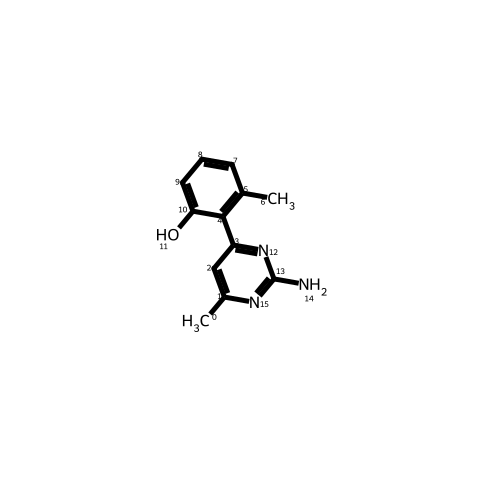 Cc1cc(-c2c(C)cccc2O)nc(N)n1